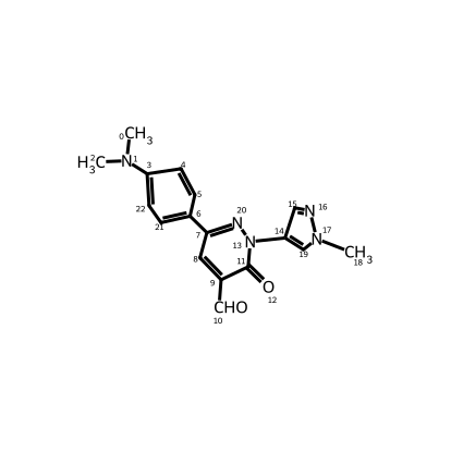 CN(C)c1ccc(-c2cc(C=O)c(=O)n(-c3cnn(C)c3)n2)cc1